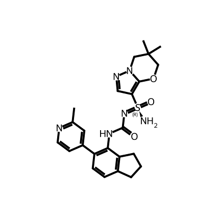 Cc1cc(-c2ccc3c(c2NC(=O)N=[S@@](N)(=O)c2cnn4c2OCC(C)(C)C4)CCC3)ccn1